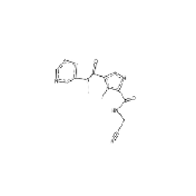 CN(C(=O)c1cnc(C(=O)NCC#N)n1C)c1cccnc1